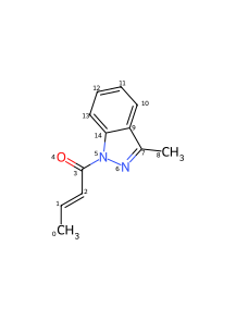 C/C=C/C(=O)n1nc(C)c2ccccc21